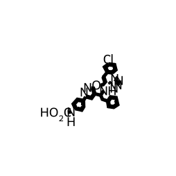 O=C(O)Nc1ccc(-c2cc(C(Cc3ccccc3)NC(=O)C=Cc3cc(Cl)ccc3-n3cnnn3)cnn2)cc1